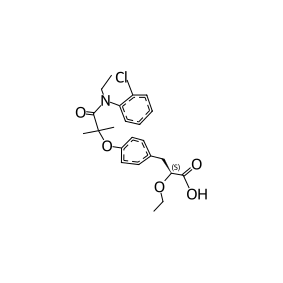 CCO[C@@H](Cc1ccc(OC(C)(C)C(=O)N(CC)c2ccccc2Cl)cc1)C(=O)O